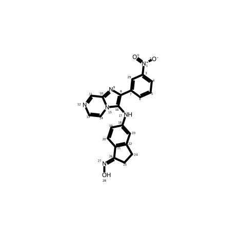 O=[N+]([O-])c1cccc(-c2nc3cnccn3c2Nc2ccc3c(c2)CC/C3=N\O)c1